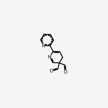 O=CC1(C=O)C=NC(c2ccccn2)=CC1